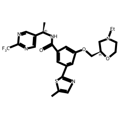 CCN1CCO[C@@H](COc2cc(C(=O)N[C@H](C)c3cnc(C(F)(F)F)nc3)cc(-c3ncc(C)s3)c2)C1